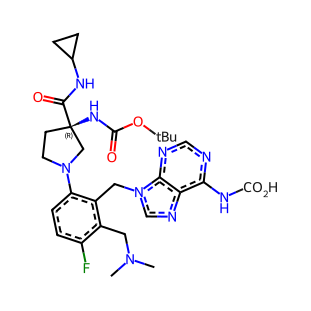 CN(C)Cc1c(F)ccc(N2CC[C@](NC(=O)OC(C)(C)C)(C(=O)NC3CC3)C2)c1Cn1cnc2c(NC(=O)O)ncnc21